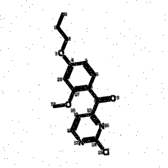 CCCOc1ccc(C(=O)c2ccnc(Cl)n2)c(OC)c1